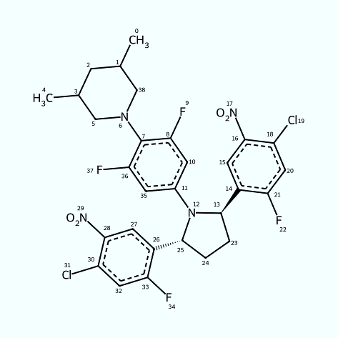 CC1CC(C)CN(c2c(F)cc(N3[C@@H](c4cc([N+](=O)[O-])c(Cl)cc4F)CC[C@@H]3c3cc([N+](=O)[O-])c(Cl)cc3F)cc2F)C1